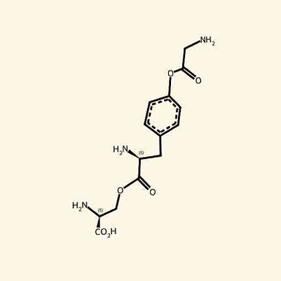 NCC(=O)Oc1ccc(C[C@H](N)C(=O)OC[C@H](N)C(=O)O)cc1